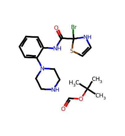 CC(C)(C)OC=O.O=C(Nc1ccccc1N1CCNCC1)C1(Br)NC=CS1